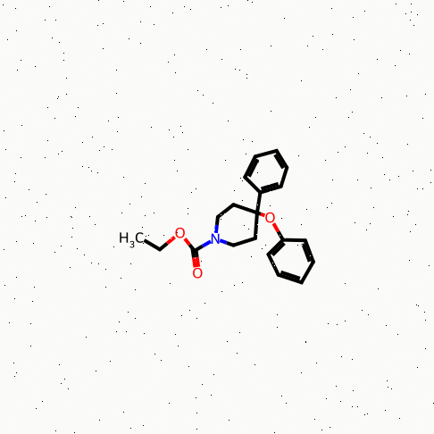 CCOC(=O)N1CCC(Oc2ccccc2)(c2ccccc2)CC1